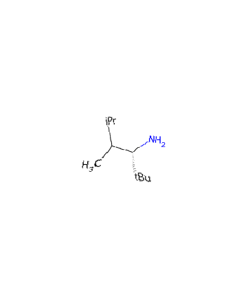 CC(C)C(C)[C@H](N)C(C)(C)C